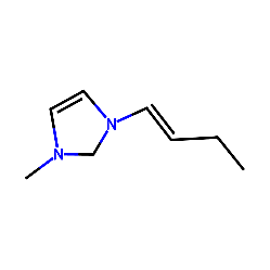 CCC=CN1C=CN(C)C1